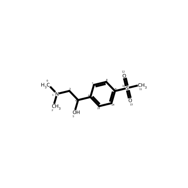 CN(C)CC(O)c1ccc(S(C)(=O)=O)cc1